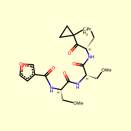 COC[C@H](NC(=O)c1ccoc1)C(=O)N[C@@H](COC)C(=O)N[C@@H](CC(C)C)C(=O)C1(C)CC1